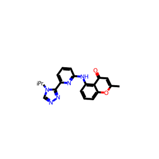 Cc1cc(=O)c2c(Nc3cccc(-c4nncn4C(C)C)n3)cccc2o1